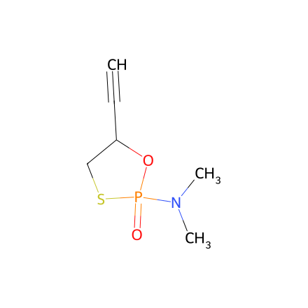 C#CC1CSP(=O)(N(C)C)O1